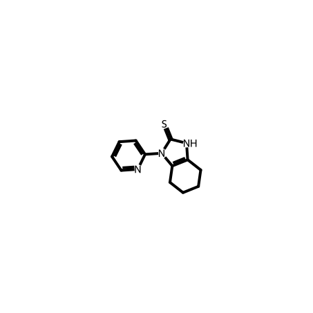 S=c1[nH]c2c(n1-c1ccccn1)CCCC2